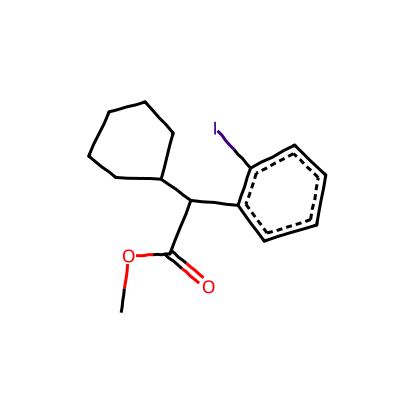 COC(=O)C(c1ccccc1I)C1CCCCC1